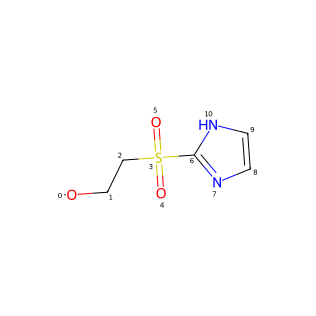 [O]CCS(=O)(=O)c1ncc[nH]1